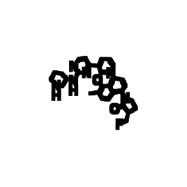 Cc1ccc2c(N3CC[C@@H](CF)C3=O)cccc2c1Oc1ncccc1-c1ccnc(N[C@H]2CCCNC2)n1